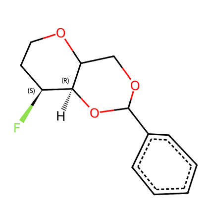 F[C@H]1CCOC2COC(c3ccccc3)O[C@H]21